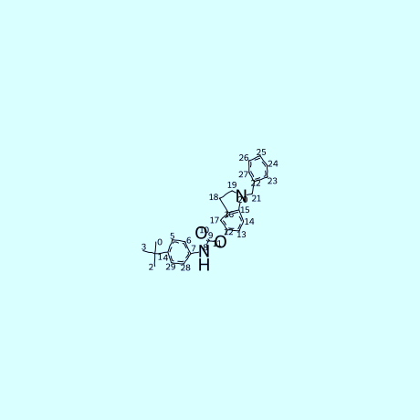 CC(C)(C)c1ccc(NC(=O)Oc2ccc3c(c2)CCN3Cc2ccccc2)cc1